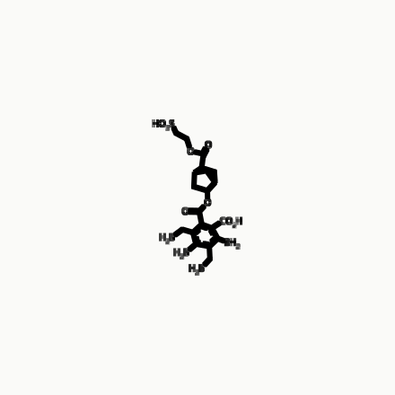 BCc1c(B)c(CB)c(C(=O)OC2CC3CC2CC3C(=O)OCCS(=O)(=O)O)c(C(=O)O)c1B